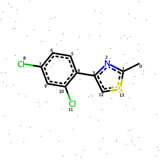 Cc1nc(-c2ccc(Cl)cc2Cl)cs1